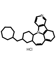 C1=CC2CC(CC3CCCCCC3)CCC2n2c3c(c4cnccc42)CCC=C13.Cl